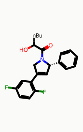 CCCCC(O)C(=O)N1CC(c2cc(F)ccc2F)=C[C@H]1c1ccccc1